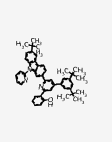 CC(C)(C)c1cc(-c2cc(-c3ccc4c5cc(C(C)(C)C)ccc5n(-c5ccccn5)c4c3)nc(-c3ccccc3O)c2)cc(C(C)(C)C)c1